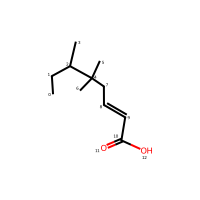 CCC(C)C(C)(C)CC=CC(=O)O